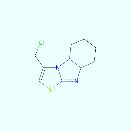 ClCC1=CSC2=NC3CCCCC3N12